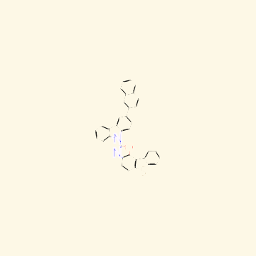 c1ccc2cc(-c3ccc4c(c3)c3ccccc3n4-c3nc4ccc5sc6ccccc6c5c4o3)ccc2c1